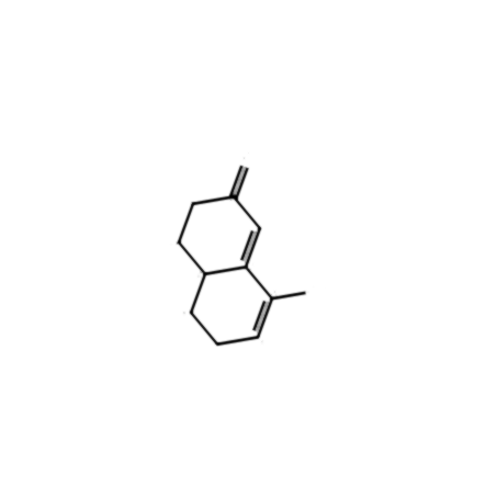 C=C1C=C2C(Cl)=CCCC2CC1